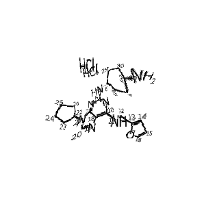 Cl.Cl.N[C@H]1CC[C@H](Nc2nc(NCc3ccco3)c3ncn(C4CCCC4)c3n2)CC1